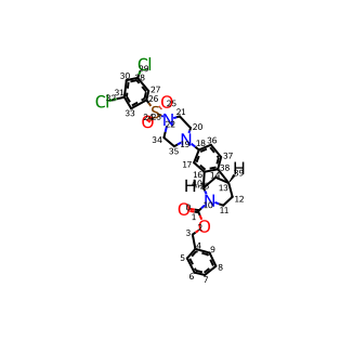 O=C(OCc1ccccc1)N1CC[C@@H]2C[C@@H]1c1cc(N3CCN(S(=O)(=O)c4cc(Cl)cc(Cl)c4)CC3)ccc12